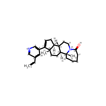 C=Cc1cncc(C2=CC[C@H]3[C@@H]4CCN5C(=O)CCCC[C@]5(C)[C@H]4CC[C@]23C)c1